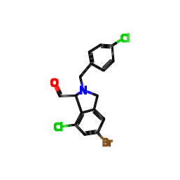 O=CC1c2c(Cl)cc(Br)cc2CN1Cc1ccc(Cl)cc1